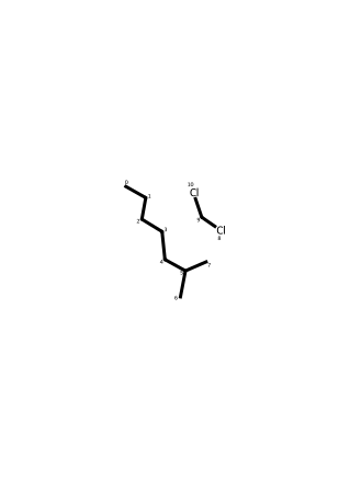 CCCCCC(C)C.ClCCl